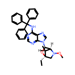 CC[C@]12CN(OC)[C@H]([C@H](n3cnc4c(NC(c5ccccc5)(c5ccccc5)c5ccccc5)ncnc43)O1)[C@H]2C